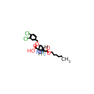 CCCCCCOC(=O)[C@@]1(F)[C@@H]2C[C@@H](OCc3ccc(Cl)c(Cl)c3)[C@@](N)(C(=O)O)[C@@H]21